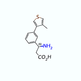 Cc1cscc1-c1cccc([C@@H](N)CC(=O)O)c1